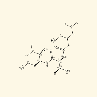 CC(C)CC(CN)CC(=O)N[C@H](C(=O)N[C@@H](CCN)C(=O)C(C)C)[C@H](C)O